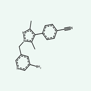 Bc1cncc(Cn2nc(C)c(-c3ccc(C#N)cc3)c2C)c1